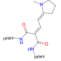 CCCCCCNC(=O)C(=C/C=C1\CCCN1C)C(=O)NCCCCCC